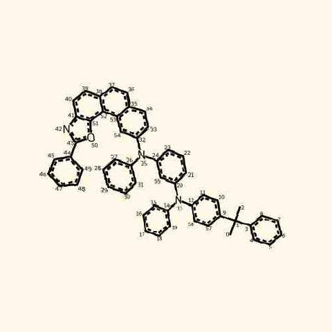 CC(C)(c1ccccc1)c1ccc(N(c2ccccc2)c2cccc(N(c3ccccc3)c3ccc4ccc5ccc6nc(-c7ccccc7)oc6c5c4c3)c2)cc1